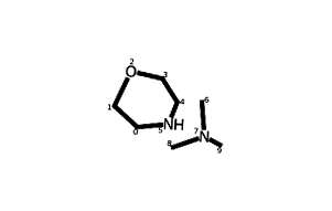 C1COCCN1.CN(C)C